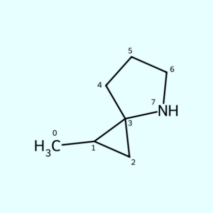 CC1CC12CCCN2